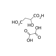 O=C(O)C(=O)O.O=C(O)CC(O)C(=O)O